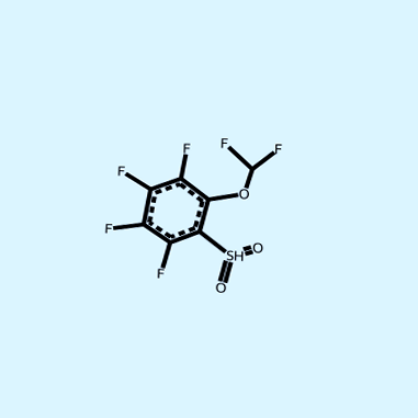 O=[SH](=O)c1c(F)c(F)c(F)c(F)c1OC(F)F